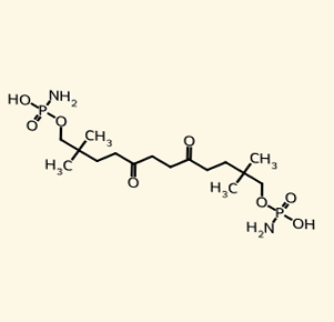 CC(C)(CCC(=O)CCC(=O)CCC(C)(C)COP(N)(=O)O)COP(N)(=O)O